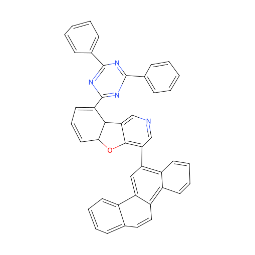 C1=CC2Oc3c(-c4cc5c6ccccc6ccc5c5ccccc45)cncc3C2C(c2nc(-c3ccccc3)nc(-c3ccccc3)n2)=C1